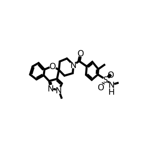 CNS(=O)(=O)c1ccc(C(=O)N2CCC3(CC2)Oc2ccccc2-c2nn(C)cc23)cc1C